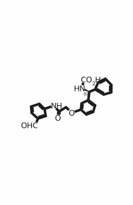 O=Cc1cccc(NC(=O)COc2cccc([C@@H](NC(=O)O)c3ccccc3)c2)c1